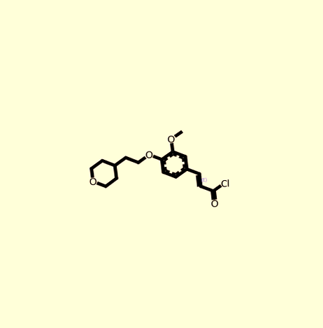 COc1cc(/C=C/C(=O)Cl)ccc1OCCC1CCOCC1